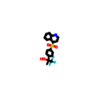 CC(O)(c1ccc(S(=O)(=O)c2ccnc3ccccc23)cc1)C(F)(F)F